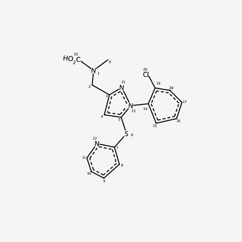 CN(Cc1cc(Sc2ccccn2)n(-c2ccccc2Cl)n1)C(=O)O